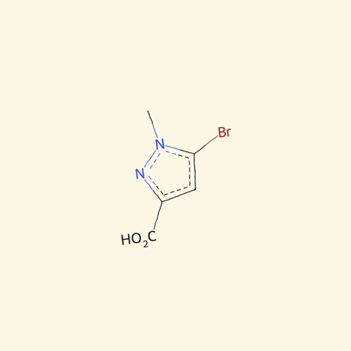 Cn1nc(C(=O)O)cc1Br